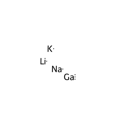 [Ga].[K].[Li].[Na]